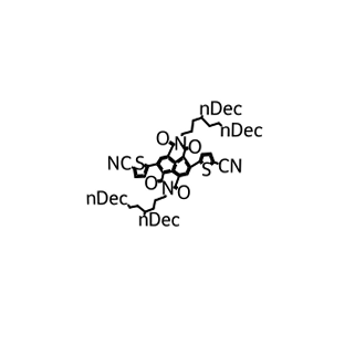 CCCCCCCCCCCCC(CCCCCCCCCC)CCCN1C(=O)c2cc(-c3ccc(C#N)s3)c3c4c(cc(-c5ccc(C#N)s5)c(c24)C1=O)C(=O)N(CCCC(CCCCCCCCCC)CCCCCCCCCCCC)C3=O